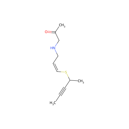 CC#CC(C)S/C=C\CNCC(C)=O